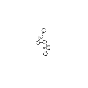 Cn1nccc1-c1cc(NC(=O)Nc2ccccc2)ccc1OCCN1CCCCC1